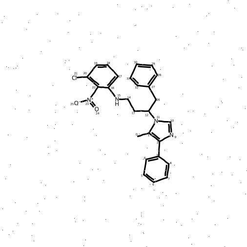 Cc1c(-c2ccccc2)ncn1C(CCNc1cccc(Cl)c1[N+](=O)[O-])Cc1ccccc1